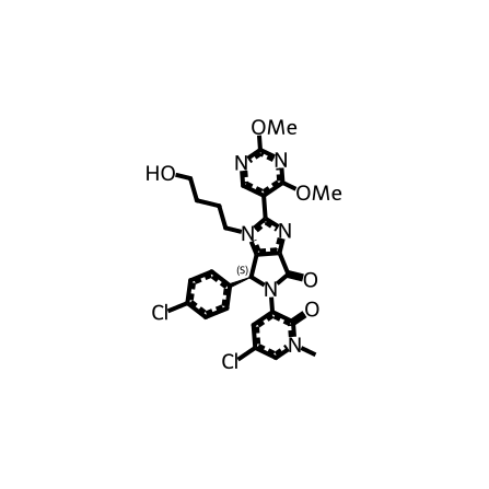 COc1ncc(-c2nc3c(n2CCCCO)[C@H](c2ccc(Cl)cc2)N(c2cc(Cl)cn(C)c2=O)C3=O)c(OC)n1